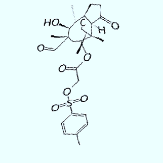 Cc1ccc(S(=O)(=O)OCC(=O)OC2C[C@](C)(C=O)[C@@H](O)[C@H](C)[C@]34CCC(=O)[C@H]3[C@@]2(C)[C@H](C)CC4)cc1